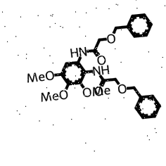 COc1cc(NC(=O)COCc2ccccc2)c(NC(=O)COCc2ccccc2)c(OC)c1OC